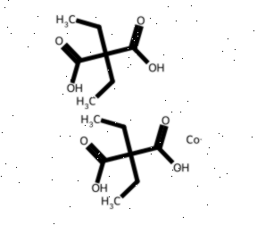 CCC(CC)(C(=O)O)C(=O)O.CCC(CC)(C(=O)O)C(=O)O.[Co]